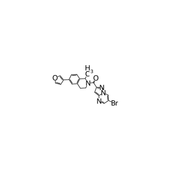 CC1c2ccc(-c3ccoc3)cc2CCN1C(=O)c1cc2ncc(Br)cn2n1